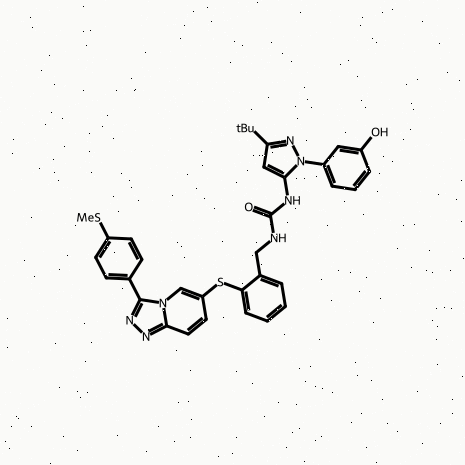 CSc1ccc(-c2nnc3ccc(Sc4ccccc4CNC(=O)Nc4cc(C(C)(C)C)nn4-c4cccc(O)c4)cn23)cc1